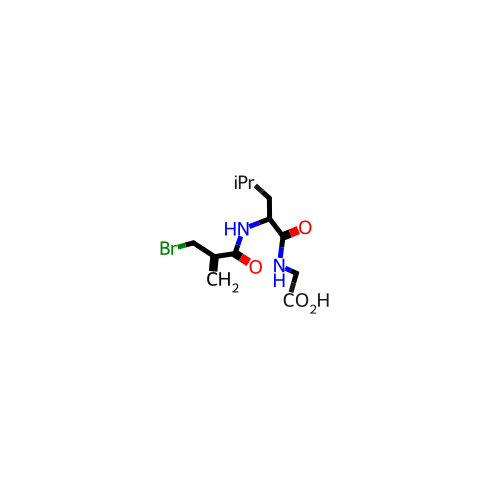 C=C(CBr)C(=O)NC(CC(C)C)C(=O)NCC(=O)O